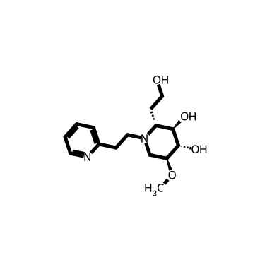 CO[C@H]1CN(CCc2ccccn2)[C@H](CCO)[C@@H](O)[C@@H]1O